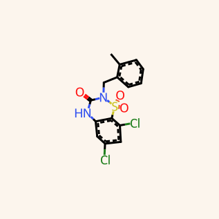 Cc1ccccc1CN1C(=O)Nc2cc(Cl)cc(Cl)c2S1(=O)=O